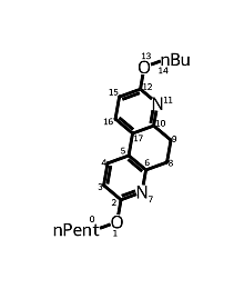 CCCCCOc1ccc2c(n1)CCc1nc(OCCCC)ccc1-2